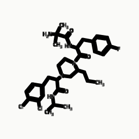 CCCC1CN(C(Cc2ccc(Cl)c(Cl)c2)C(=O)NC(C)C)CCN1C(=O)C(Cc1ccc(F)cc1)NC(=O)C(C)(C)N